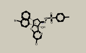 Cc1ccc(S(=O)(=O)N/N=C2\C[C@@H](c3ccccc3)[C@]3(c4ccc(Br)cc4)Oc4cc(Cl)cnc4[C@]23O)cc1